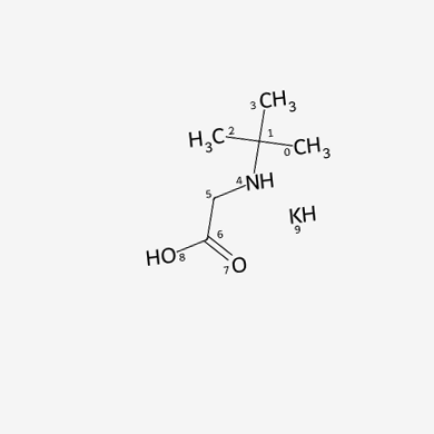 CC(C)(C)NCC(=O)O.[KH]